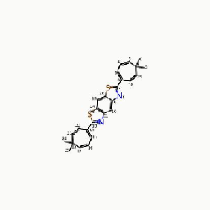 CC1(C)C=CC=C(c2nc3cc4nc(C5=CC=CC(C)(C)C=C5)sc4cc3s2)C=C1